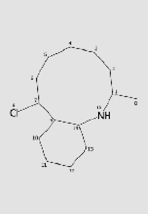 CC1CCCCCC(Cl)C2CCCCC2N1